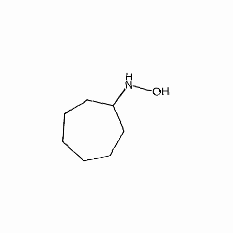 ONC1CCCCCC1